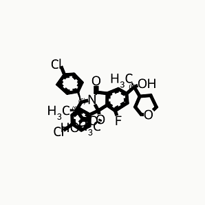 COC1(c2ccc(Cl)cc2)c2c(F)cc([C@@](C)(O)C3CCOCC3)cc2C(=O)N1[C@H](c1ccc(Cl)cc1)[C@H](C)C(=O)O